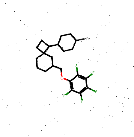 CCCC1CCC(C2CCC23CCCC(COc2c(F)c(F)c(F)c(F)c2F)C3)CC1